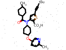 Cc1ccc(O[C@H]2CC[C@H](N(C(=O)C3CCC(C)CC3)c3cc(C#CC(C)(C)C)sc3C(=O)O)CC2)cn1